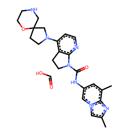 Cc1cn2cc(NC(=O)N3CCc4c(N5CCC6(CNCCO6)C5)ccnc43)cc(C)c2n1.O=CO